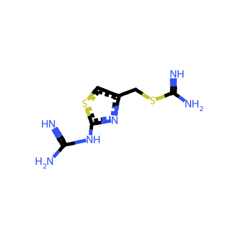 N=C(N)Nc1nc(CSC(=N)N)cs1